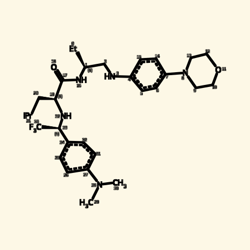 CC[C@@H](CNc1ccc(N2CCOCC2)cc1)NC(=O)[C@H](CC(C)C)N[C@@H](c1ccc(N(C)C)cc1)C(F)(F)F